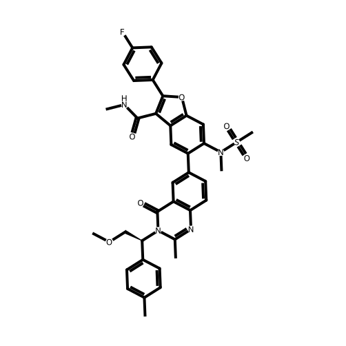 CNC(=O)c1c(-c2ccc(F)cc2)oc2cc(N(C)S(C)(=O)=O)c(-c3ccc4nc(C)n([C@H](COC)c5ccc(C)cc5)c(=O)c4c3)cc12